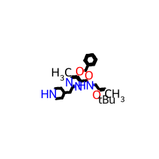 CC=C(CNC(=O)c1nc(CC2CCNCC2)nc(C)c1OCc1ccccc1)OC(C)(C)C